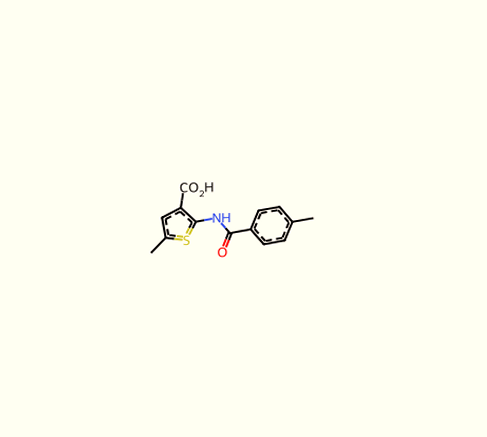 Cc1ccc(C(=O)Nc2sc(C)cc2C(=O)O)cc1